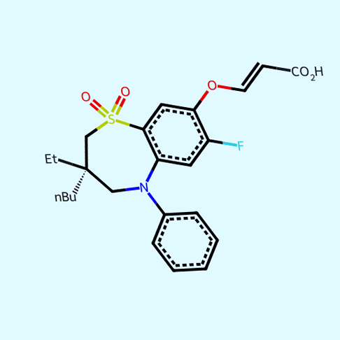 CCCC[C@@]1(CC)CN(c2ccccc2)c2cc(F)c(O/C=C/C(=O)O)cc2S(=O)(=O)C1